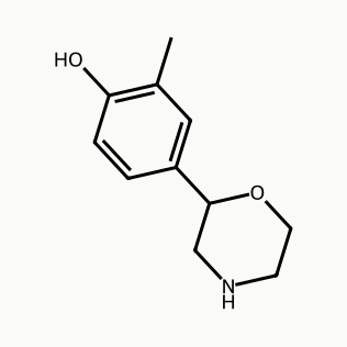 Cc1cc(C2CNCCO2)ccc1O